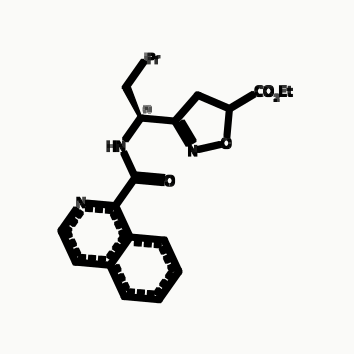 CCOC(=O)C1CC([C@H](CC(C)C)NC(=O)c2nccc3ccccc23)=NO1